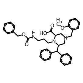 COc1ccccc1CN1CC(C(=O)O)N(CCCNC(=O)OCc2ccccc2)C(C(c2ccccc2)c2ccccc2)C1